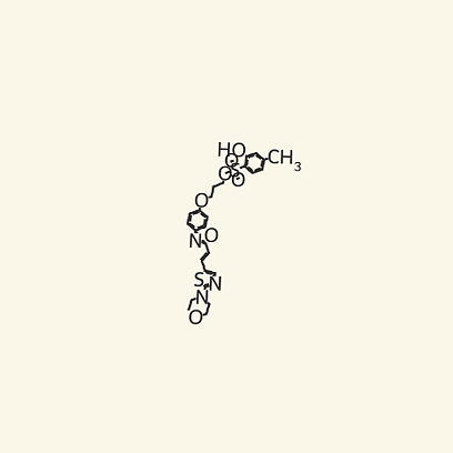 Cc1ccc(S(=O)(=O)OCCCOc2ccc3nc(C=Cc4cnc(N5CCOCC5)s4)oc3c2)c(O)c1